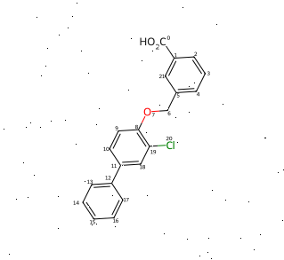 O=C(O)c1cccc(COc2ccc(-c3ccccc3)cc2Cl)c1